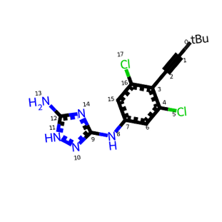 CC(C)(C)C#Cc1c(Cl)cc(Nc2n[nH]c(N)n2)cc1Cl